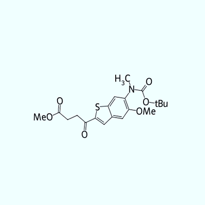 COC(=O)CCC(=O)c1cc2cc(OC)c(N(C)C(=O)OC(C)(C)C)cc2s1